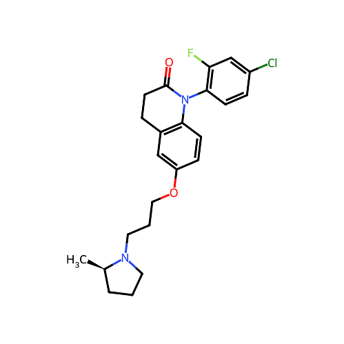 C[C@@H]1CCCN1CCCOc1ccc2c(c1)CCC(=O)N2c1ccc(Cl)cc1F